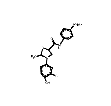 CC(=O)Nc1ccc(NC(=O)C2CN(c3ccc(C#N)c(Cl)c3)C(C(F)(F)F)O2)cc1